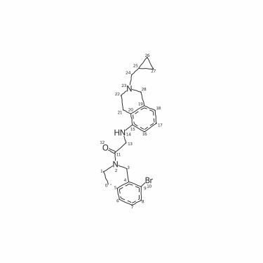 [CH2]CN(Cc1ccccc1Br)C(=O)CNc1cccc2c1CCN(CC1CC1)C2